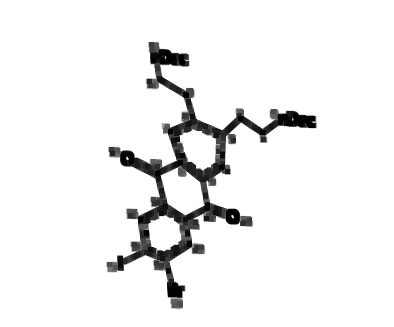 CCCCCCCCCCCCc1cc2c(cc1CCCCCCCCCCCC)C(=O)c1cc(I)c(Br)cc1C2=O